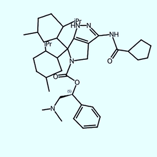 CC1CCC(C(C)C)C(C2(C3CC(C)CCC3C(C)C)c3[nH]nc(NC(=O)C4CCCC4)c3CN2C(=O)O[C@H](CN(C)C)c2ccccc2)C1